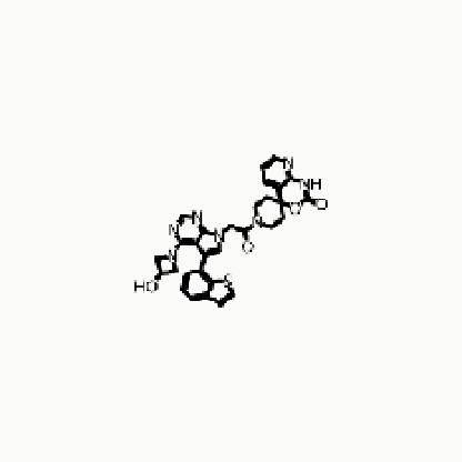 O=C1Nc2ncccc2C2(CCN(C(=O)Cn3cc(-c4cccc5ccsc45)c4c(N5CC(O)C5)ncnc43)CC2)O1